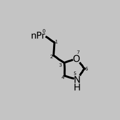 CCCCCC1CNCO1